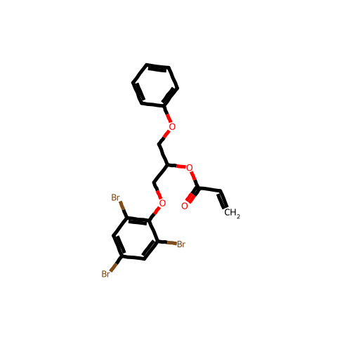 C=CC(=O)OC(COc1ccccc1)COc1c(Br)cc(Br)cc1Br